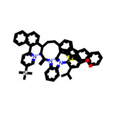 C=C1C2C(CCc3ccc4c(sc5cc(C)ccc54)c3-c3n(-c4c(C(C)C)cc(-c5ccccc5)cc4C(C)C)c4ccccc4[n+]31)c1ccc3ccccc3c1-c1ccc([Si](C)(C)C)c[n+]12